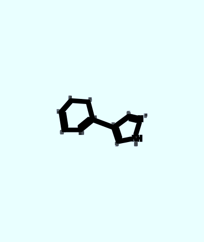 C1=CCCC(c2cn[nH]c2)=C1